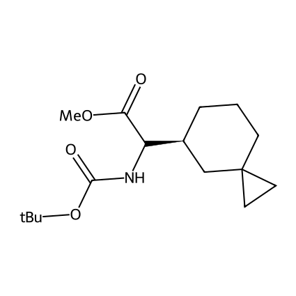 COC(=O)C(NC(=O)OC(C)(C)C)[C@H]1CCCC2(CC2)C1